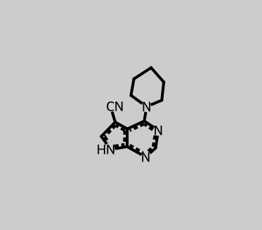 N#Cc1c[nH]c2ncnc(N3CCCCC3)c12